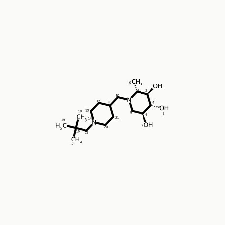 C[C@@H]1[C@@H](O)[C@H](O)[C@@H](O)CN1CC1CCN(CC(C)(C)C)CC1